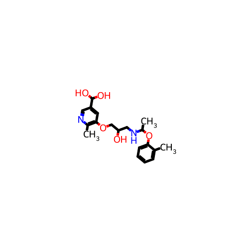 Cc1ccccc1OC(C)NCC(O)COc1cc(C(O)O)cnc1C